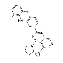 Fc1cccc(F)c1Nc1cc(-c2nc(N3C[CH]CC3)c3c(C4CC4)cncc3n2)ccn1